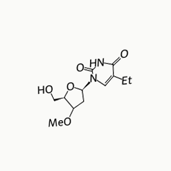 CCc1cn([C@H]2CC(OC)[C@@H](CO)O2)c(=O)[nH]c1=O